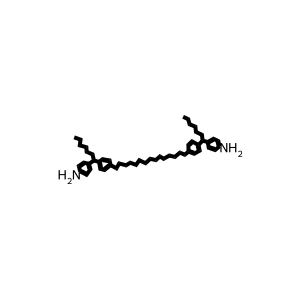 CCCCCCC(c1ccc(N)cc1)c1ccc(CCCCCCCCCCCCCCCc2ccc(C(CCCCCC)c3ccc(N)cc3)cc2)cc1